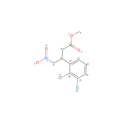 COC(=O)CC(C[N+](=O)[O-])c1cccc(Cl)c1Cl